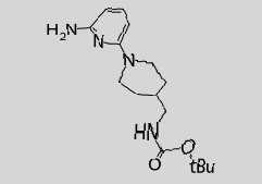 CC(C)(C)OC(=O)NCC1CCN(c2cccc(N)n2)CC1